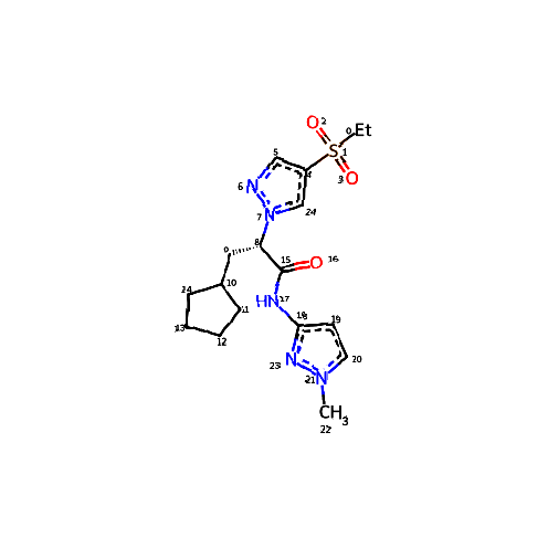 CCS(=O)(=O)c1cnn([C@@H](CC2CCCC2)C(=O)Nc2ccn(C)n2)c1